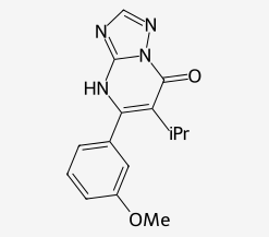 COc1cccc(-c2[nH]c3ncnn3c(=O)c2C(C)C)c1